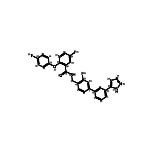 O=C(NCc1ccc(-c2cccc(-c3nnn[nH]3)c2)cc1F)c1cc(F)cnc1Oc1ccc(F)cc1